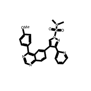 COc1ccc(-c2ncnc3ccc(-c4cn(S(=O)(=O)N(C)C)nc4-c4ccccn4)cc23)cc1